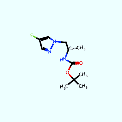 C[C@@H](Cn1cc(F)cn1)NC(=O)OC(C)(C)C